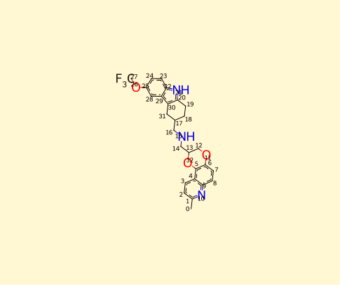 Cc1ccc2c3c(ccc2n1)OCC(CNCC1CCc2[nH]c4ccc(OC(F)(F)F)cc4c2C1)O3